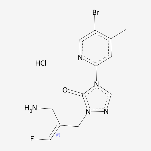 Cc1cc(-n2cnn(C/C(=C/F)CN)c2=O)ncc1Br.Cl